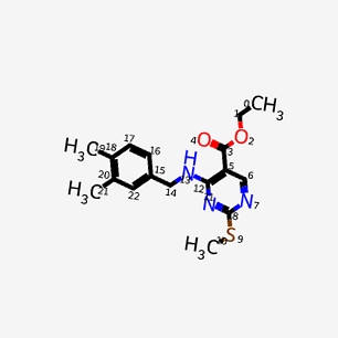 CCOC(=O)c1cnc(SC)nc1NCc1ccc(C)c(C)c1